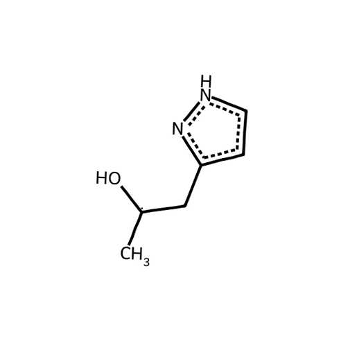 C[C](O)Cc1cc[nH]n1